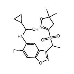 CC(c1noc2cc(F)c(NC(O)C3CC3)cc12)S(=O)(=O)C1=NOC(C)(C)C1